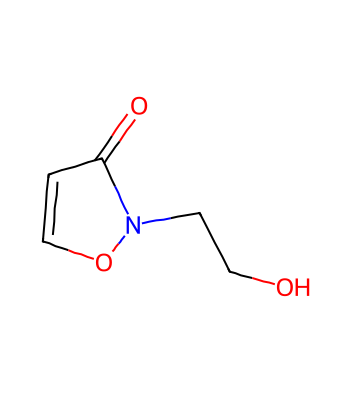 O=c1ccon1CCO